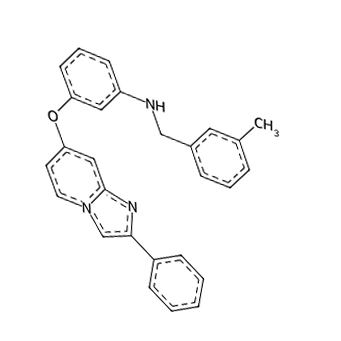 Cc1cccc(CNc2cccc(Oc3ccn4cc(-c5ccccc5)nc4c3)c2)c1